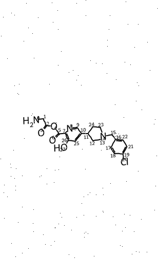 NCC(=O)OC(=O)c1ncc(C2CCN(Cc3ccc(Cl)cc3)CC2)cc1O